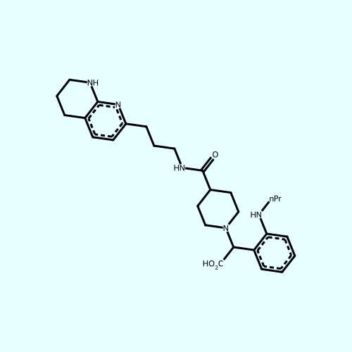 CCCNc1ccccc1C(C(=O)O)N1CCC(C(=O)NCCCc2ccc3c(n2)NCCC3)CC1